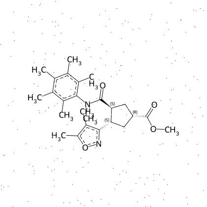 COC(=O)[C@H]1C[C@H](C(=O)N(C)c2c(C)c(C)c(C)c(C)c2C)[C@@H](c2noc(C)c2C)C1